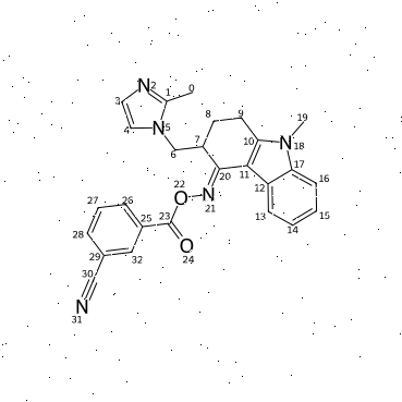 Cc1nccn1CC1CCc2c(c3ccccc3n2C)C1=NOC(=O)c1cccc(C#N)c1